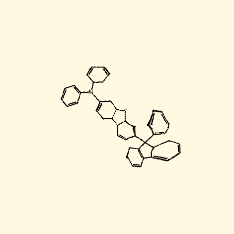 C1=CCC(N(C2=CCC3C(C2)SC2CC(C4(c5ccccc5)C5=C(C=CCC5)C5=CC=CCC54)C=CC23)c2ccccc2)C=C1